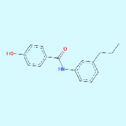 CCCc1cccc(NC(=O)c2ccc(O)cc2)c1